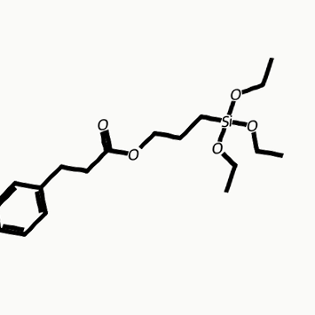 CCO[Si](CCCOC(=O)CCc1ccccc1)(OCC)OCC